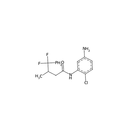 CC(CC(=O)Nc1cc(N)ccc1Cl)C(F)(F)P